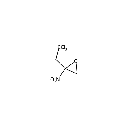 O=[N+]([O-])C1(CC(Cl)(Cl)Cl)CO1